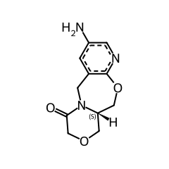 Nc1cnc2c(c1)CN1C(=O)COC[C@H]1CO2